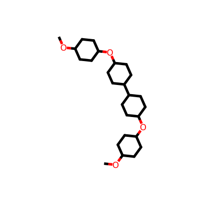 COC1CCC(OC2CCC(C3CCC(OC4CCC(OC)CC4)CC3)CC2)CC1